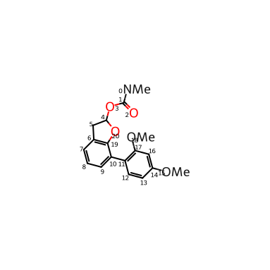 CNC(=O)OC1Cc2cccc(-c3ccc(OC)cc3OC)c2O1